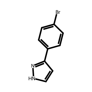 Brc1ccc(-c2cc[nH]n2)cc1